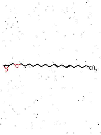 CCCCCC=CCC=CCCCCCCCCOCC1CO1